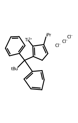 CC(C)C1=CCC(C(c2ccccc2)(c2ccccc2)C(C)(C)C)=[C]1[Ti+3].[Cl-].[Cl-].[Cl-]